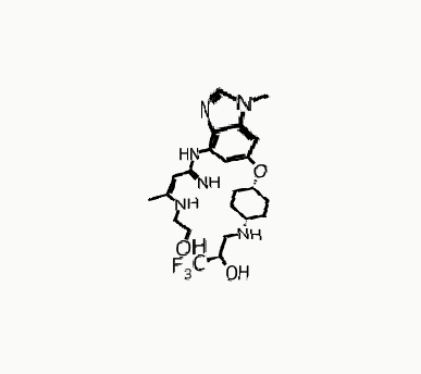 C/C(=C/C(=N)Nc1cc(O[C@H]2CC[C@@H](NC[C@@H](O)C(F)(F)F)CC2)cc2c1ncn2C)NCCO